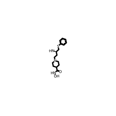 [NH][C@H](CCN1CCC(C(=O)NO)CC1)CSc1ccccc1